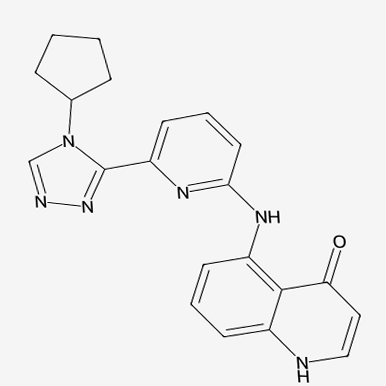 O=c1cc[nH]c2cccc(Nc3cccc(-c4nncn4C4CCCC4)n3)c12